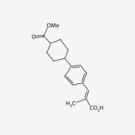 COC(=O)C1CCC(c2ccc(C=C(C)C(=O)O)cc2)CC1